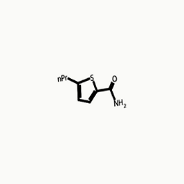 CCCc1ccc(C(N)=O)s1